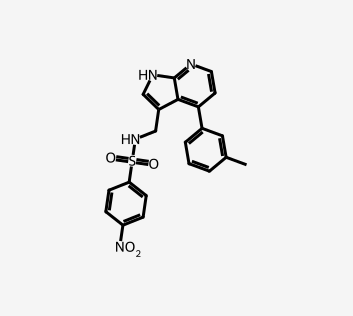 Cc1cccc(-c2ccnc3[nH]cc(CNS(=O)(=O)c4ccc([N+](=O)[O-])cc4)c23)c1